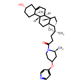 C[C@H](CCC(=O)N1CC[C@H](Oc2ccncc2)C[C@@H]1C)[C@H]1CC[C@H]2[C@@H]3CC=C4C[C@@H](O)CC[C@]4(C)[C@H]3CC[C@]12C